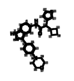 O=C(Nc1ccc2[nH]nc(-c3ccc(N4CCOCC4)cc3)c2c1)C(c1ccsc1)C1CCC1